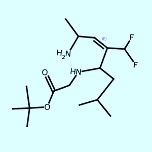 CC(N)/C=C(/C(F)F)C(CC(C)C)NCC(=O)OC(C)(C)C